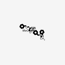 COC(=O)[C@H](COCc1ccccc1)NS(=O)(=O)c1ccc(Cn2c(C)nc3ccccc32)cc1